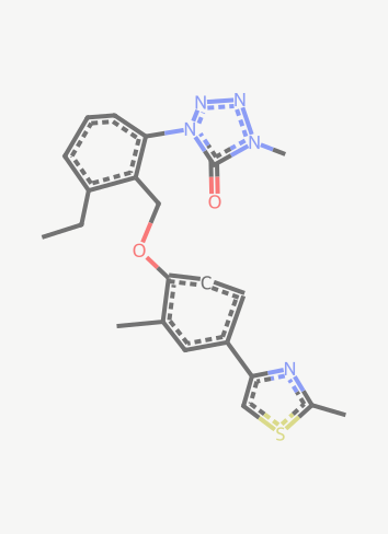 CCc1cccc(-n2nnn(C)c2=O)c1COc1ccc(-c2csc(C)n2)cc1C